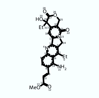 CCc1c2c(nc3ccc(C=CC(=O)OC)c(N)c13)-c1cc3c(c(=O)n1C2)COC(=O)C3(O)CC